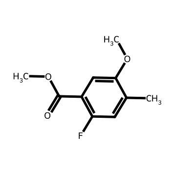 COC(=O)c1cc(OC)c(C)cc1F